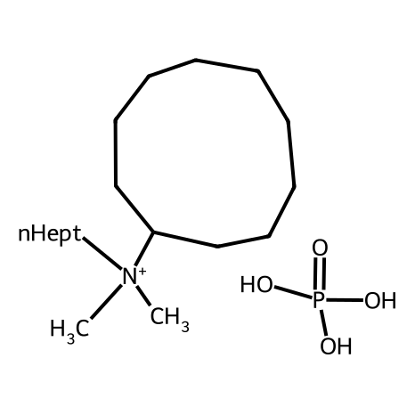 CCCCCCC[N+](C)(C)C1CCCCCCCCC1.O=P(O)(O)O